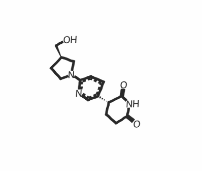 O=C1CC[C@H](c2ccc(N3CC[C@@H](CO)C3)nc2)C(=O)N1